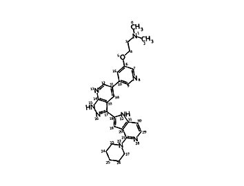 CN(C)CCOc1cncc(-c2cnc3[nH]nc(-c4cc5c(N6CCCCC6)nccc5[nH]4)c3c2)c1